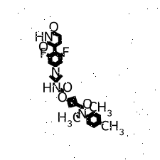 Cc1ccc(N(C)C(=O)C23CC(OC(=O)NC4CN(c5cc(F)c(C6CCC(=O)NC6=O)c(F)c5)C4)(C2)C3)c(C)c1